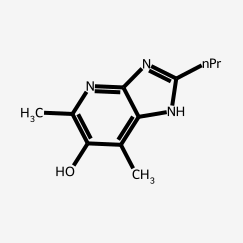 CCCc1nc2nc(C)c(O)c(C)c2[nH]1